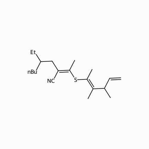 C=CC(C)/C(C)=C(\C)S/C(C)=C(\C#N)CC(CC)CCCC